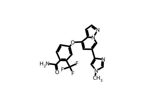 Cn1cnc(-c2cc(Oc3ccc(C(N)=O)c(C(F)(F)F)c3)c3ccnn3c2)c1